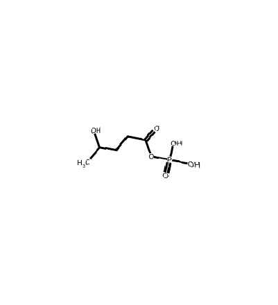 CC(O)CCC(=O)OP(=O)(O)O